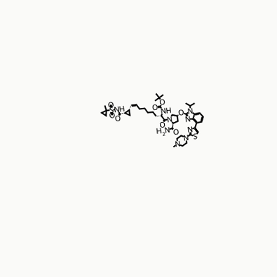 CC(C)n1c(O[C@@H]2C[C@@H](C(N)=O)N(C(=O)[C@H](CCCCC/C=C\[C@@H]3C[C@@H]3C(=O)NS(=O)(=O)C3(C)CC3)NC(=O)OC(C)(C)C)C2)nc2c(-c3csc(N4CCN(C)CC4)n3)cccc21